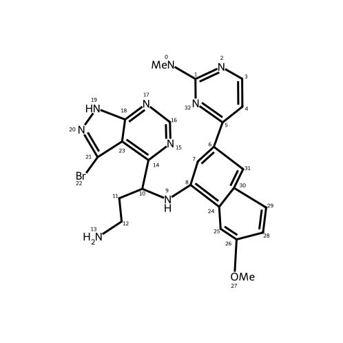 CNc1nccc(-c2cc(NC(CCN)c3ncnc4[nH]nc(Br)c34)c3cc(OC)ccc3c2)n1